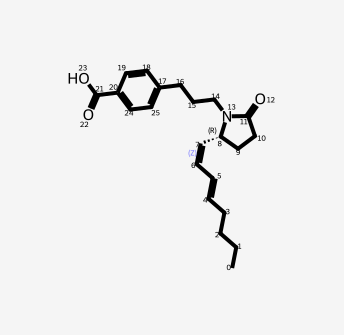 CCCCC=C/C=C\[C@H]1CCC(=O)N1CCCc1ccc(C(=O)O)cc1